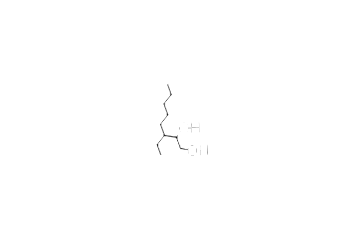 CCCCCC(CC)C(O)CO